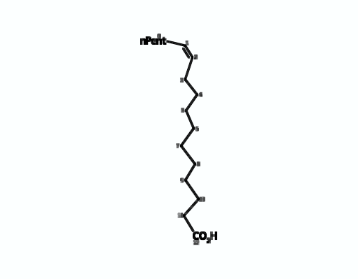 CCCCC/C=C\CCCCCCCCCC(=O)O